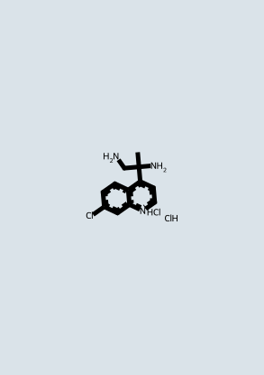 CC(N)(CN)c1ccnc2cc(Cl)ccc12.Cl.Cl